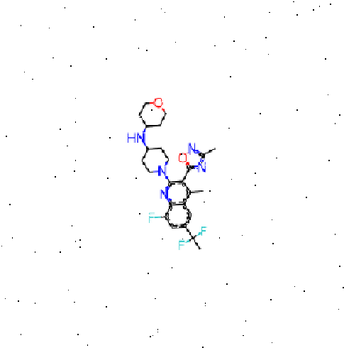 Cc1noc(-c2c(N3CCC(NC4CCOCC4)CC3)nc3c(F)cc(C(C)(F)F)cc3c2C)n1